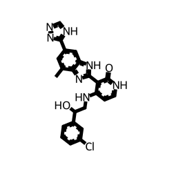 Cc1cc(-c2nnc[nH]2)cc2[nH]c(-c3c(NCC(O)c4cccc(Cl)c4)cc[nH]c3=O)nc12